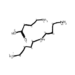 NCCCC(=O)O.NCCCCNCCCN